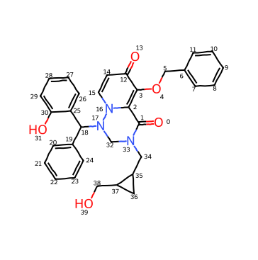 O=C1c2c(OCc3ccccc3)c(=O)ccn2N(C(c2ccccc2)c2ccccc2O)CN1CC1CC1CO